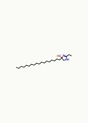 CCCCCCCCCCCCCCCCCCC1(O)CNC(CC)=N1